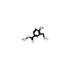 CCc1cc(C(=O)OC)ccc1O